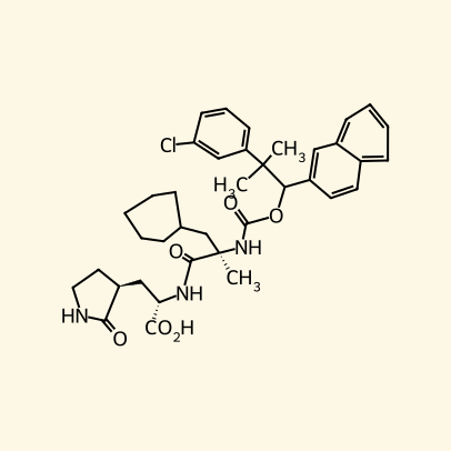 CC(C)(c1cccc(Cl)c1)C(OC(=O)N[C@](C)(CC1CCCCC1)C(=O)N[C@@H](C[C@@H]1CCNC1=O)C(=O)O)c1ccc2ccccc2c1